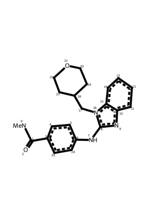 CNC(=O)c1ccc(Nc2nc3ccccc3n2CC2CCOCC2)cc1